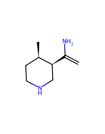 C=C(N)[C@H]1CNCC[C@H]1C